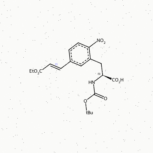 CCOC(=O)/C=C/c1ccc([N+](=O)[O-])c(C[C@H](NC(=O)OC(C)(C)C)C(=O)O)c1